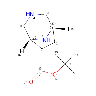 C1C[C@H]2CNC[C@@H]1N2.CC(C)(C)OC=O